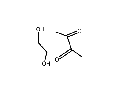 CC(=O)C(C)=O.OCCO